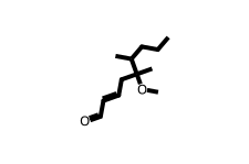 CCCC(C)C(C)(CC=CC=O)OC